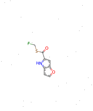 O=C(SCF)c1cc2occc2[nH]1